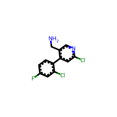 NCc1cnc(Cl)cc1-c1ccc(F)cc1Cl